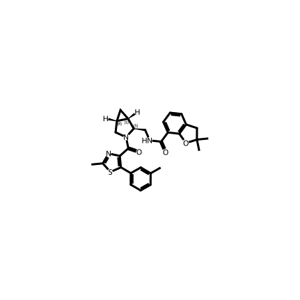 Cc1cccc(-c2sc(C)nc2C(=O)N2C[C@@H]3C[C@@H]3[C@H]2CNC(=O)c2cccc3c2OC(C)(C)C3)c1